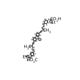 CCOC(Cc1ccc(SCC=C(C)C#Cc2ccc3c(c2)C(=O)c2cc(C#CC(C)=CCSc4ccc(CC(OCC)C(=O)O)cc4)ccc2-3)cc1)C(=O)O